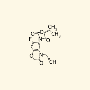 C#CCN1C(=O)COc2cc(F)c(N3C(=O)OC(=C(C)C)C3=O)cc21